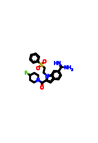 N=C(N)c1ccc2cc(C(=O)N3CCC(F)CC3)n(CCS(=O)(=O)c3ccccc3)c2c1